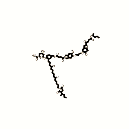 CCCC(C)OC(=O)CCC(=O)c1cc2cc(OCCCOc3cc4c(cc3OC)CN(C(=O)CCC(=O)OCc3ccc(O[C@H]5C[C@@H](O)C[C@@H](C(=O)O)O5)c(CCCC(=O)CCCCCC(=O)CCCCCN5C(=O)CC(C(C)CCC)C5=O)c3)C4)c(OC)cc2s1